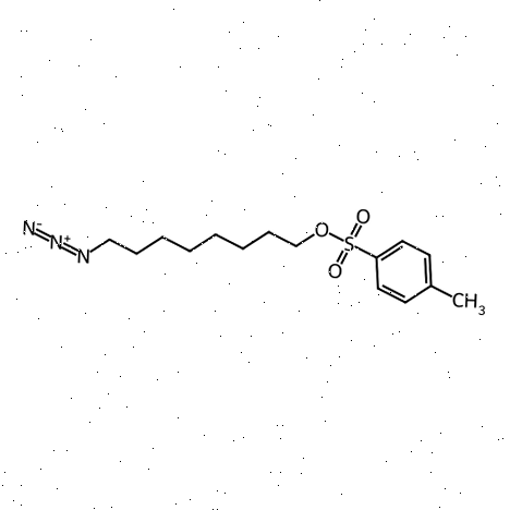 Cc1ccc(S(=O)(=O)OCCCCCCCCN=[N+]=[N-])cc1